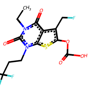 CCn1c(=O)c2c(CF)c(OC(=O)O)sc2n(CCC(F)(F)F)c1=O